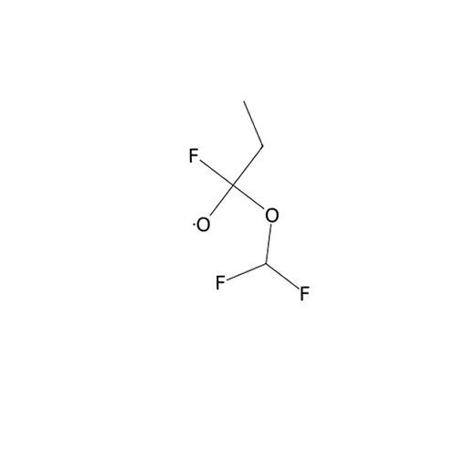 CCC([O])(F)OC(F)F